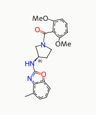 COc1cccc(OC)c1C(=O)N1CC[C@@H](Nc2nc3c(C)cccc3o2)C1